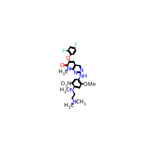 COc1cc(N(C)CCN(C)C)c([N+](=O)[O-])cc1Nc1ncc2cc(Oc3ccc(F)cc3F)c(=O)n(C)c2n1